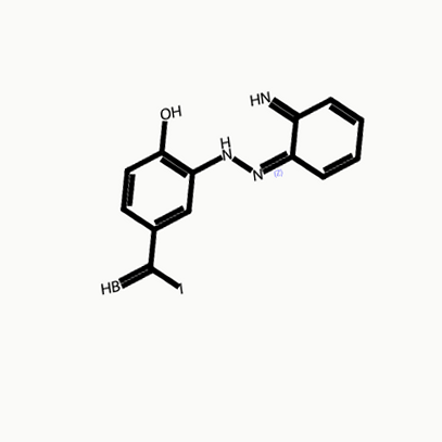 B=C(I)c1ccc(O)c(N/N=C2/C=CC=CC2=N)c1